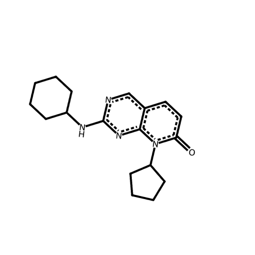 O=c1ccc2cnc(NC3CCCCC3)nc2n1C1CCCC1